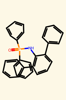 O=P(Nc1c(-c2ccccc2)cccc1-c1ccccc1)(c1ccccc1)c1ccccc1